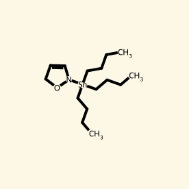 CCC[CH2][Sn]([CH2]CCC)([CH2]CCC)[N]1C=CCO1